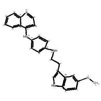 COc1ccc2[nH]cc(CCNc3ccc(Nc4ccnc5ccccc45)cc3)c2c1